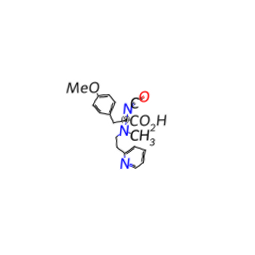 COc1ccc(C[C@](N=C=O)(C(=O)O)N(C)CCc2ccccn2)cc1